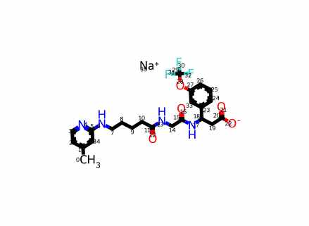 Cc1ccnc(NCCCCC(=O)NCC(=O)NC(CC(=O)[O-])c2cccc(OC(F)(F)F)c2)c1.[Na+]